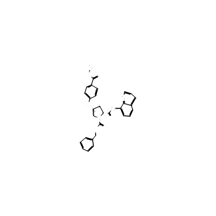 NOC(=O)c1ccc(O[C@@H]2C[C@@H](C(=O)Nc3cccc4cccnc34)N(C(=O)OCc3ccccc3)C2)cc1